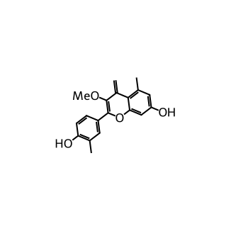 C=C1C(OC)=C(c2ccc(O)c(C)c2)Oc2cc(O)cc(C)c21